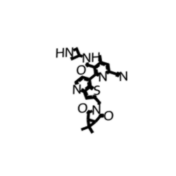 Cc1cc(C#N)nc(-c2ccnc3cc(CN4C(=O)C5C(C4=O)C5(C)C)sc23)c1C(=O)NC1CNC1